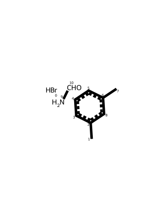 Br.Cc1cccc(C)c1.NC=O